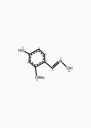 COc1cc(O)ccc1C=NO